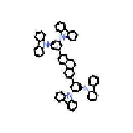 c1ccc2c(c1)c1ccccc1n2-c1cc(-c2ccc3c(c2)CCc2cc(-c4cc(-n5c6ccccc6c6ccccc65)cc(-n5c6ccccc6c6ccccc65)c4)ccc2-3)cc(-n2c3ccccc3c3ccccc32)c1